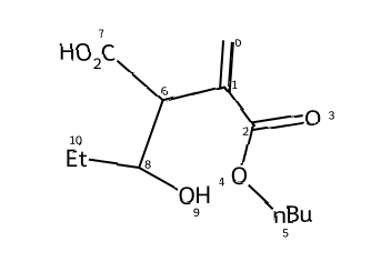 C=C(C(=O)OCCCC)C(C(=O)O)C(O)CC